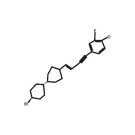 CC[C@H]1CC[C@H](C2CCC(C=CC#Cc3ccc(Cl)c(F)c3)CC2)CC1